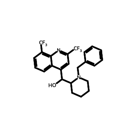 OC(c1cc(C(F)(F)F)nc2c(C(F)(F)F)cccc12)C1CCCCN1Cc1ccccc1